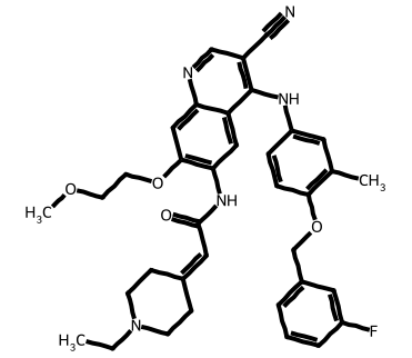 CCN1CCC(=CC(=O)Nc2cc3c(Nc4ccc(OCc5cccc(F)c5)c(C)c4)c(C#N)cnc3cc2OCCOC)CC1